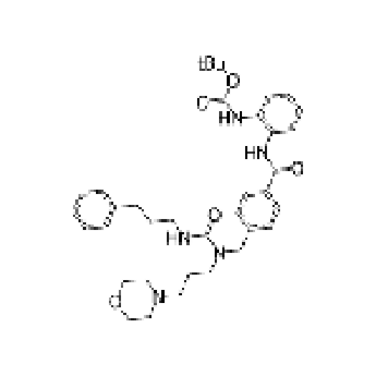 CC(C)(C)OC(=O)Nc1ccccc1NC(=O)c1ccc(CN(CCCN2CCOCC2)C(=O)NCCCc2ccccc2)cc1